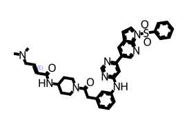 CN(C)C/C=C/C(=O)NC1CCN(C(=O)Cc2cccc(Nc3cc(-c4cnc5c(ccn5S(=O)(=O)c5ccccc5)c4)ncn3)c2)CC1